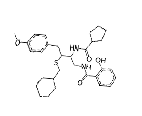 COc1ccc(CC(SCC2CCCCC2)C(CNC(=O)c2ccccc2O)NC(=O)C2CCCC2)cc1